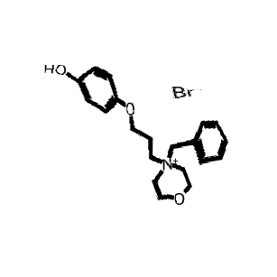 Oc1ccc(OCCC[N+]2(Cc3ccccc3)CCOCC2)cc1.[Br-]